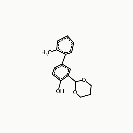 Cc1ccccc1-c1ccc(O)c(C2OCCCO2)c1